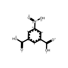 O=C(O)c1cc(C(=O)O)cc([N+](=O)O)c1